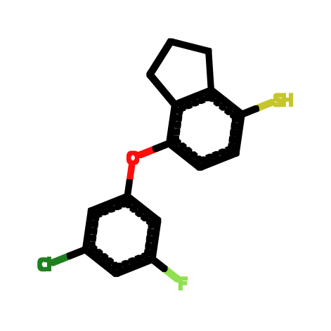 Fc1cc(Cl)cc(Oc2ccc(S)c3c2CCC3)c1